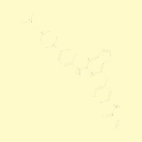 C=CC(=O)Nc1cccc(Oc2nc(Nc3ccc(N4CCN(S(=O)(=O)N(C)C)CC4)cc3)nc3ccsc23)c1